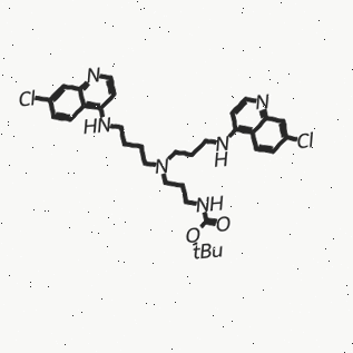 CC(C)(C)OC(=O)NCCCN(CCCCNc1ccnc2cc(Cl)ccc12)CCCNc1ccnc2cc(Cl)ccc12